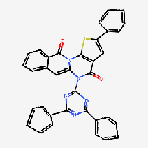 O=c1c2cc(-c3ccccc3)sc2n2c(=O)c3ccccc3cc2n1-c1nc(-c2ccccc2)nc(-c2ccccc2)n1